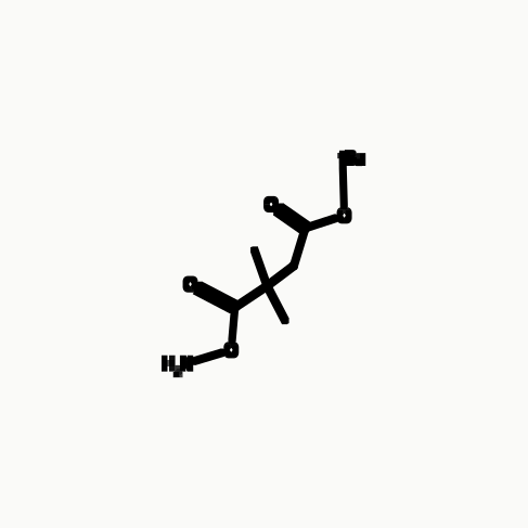 CC(C)(C)OC(=O)CC(C)(C)C(=O)ON